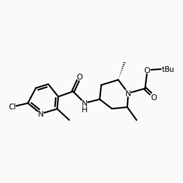 Cc1nc(Cl)ccc1C(=O)NC1CC(C)N(C(=O)OC(C)(C)C)[C@@H](C)C1